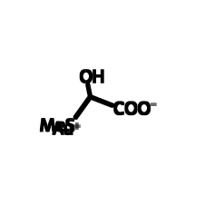 CSC(O)C(=O)[O-].[Au+]